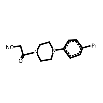 CC(C)c1ccc(N2CCN(C(=O)CC#N)CC2)cc1